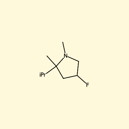 CC(C)C1(C)CC(F)CN1C